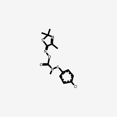 CC1=NC(C)(C)SC1=NOC(=O)N(C)Sc1ccc(Cl)cc1